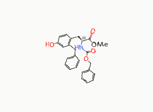 COC(=O)[C@H](Cc1ccc(O)cc1Cc1ccccc1)NC(=O)OCc1ccccc1